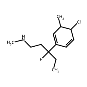 CCC(F)(CCNC)C1=CC(C)C(Cl)C=C1